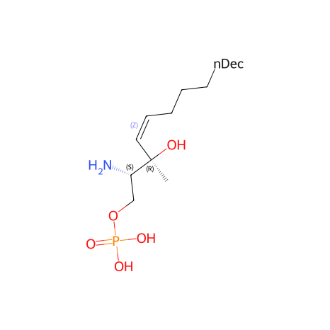 CCCCCCCCCCCCC/C=C\[C@@](C)(O)[C@@H](N)COP(=O)(O)O